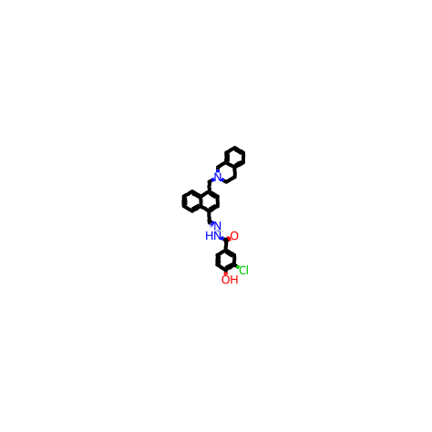 O=C(N/N=C/c1ccc(CN2CCc3ccccc3C2)c2ccccc12)c1ccc(O)c(Cl)c1